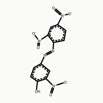 O=[N+]([O-])c1ccc(N=Nc2ccc(O)c([N+](=O)[O-])c2)c([N+](=O)[O-])c1